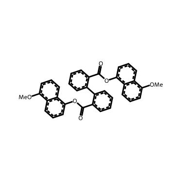 COc1cccc2c(OC(=O)c3ccccc3-c3ccccc3C(=O)Oc3cccc4c(OC)cccc34)cccc12